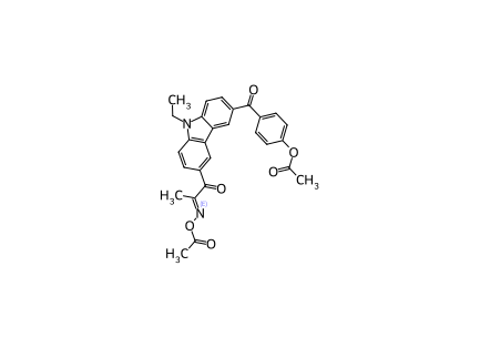 CCn1c2ccc(C(=O)/C(C)=N/OC(C)=O)cc2c2cc(C(=O)c3ccc(OC(C)=O)cc3)ccc21